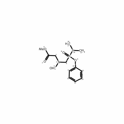 COC(=O)CN(C=O)CP(=O)(Oc1ccccc1)N(C)C